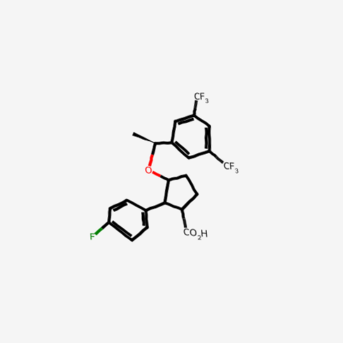 C[C@H](OC1CCC(C(=O)O)C1c1ccc(F)cc1)c1cc(C(F)(F)F)cc(C(F)(F)F)c1